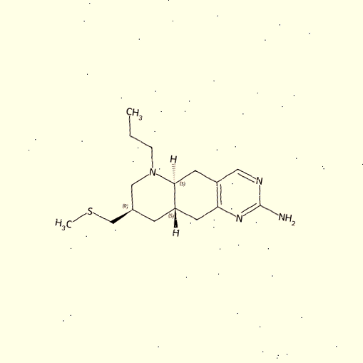 CCCN1C[C@H](CSC)C[C@H]2Cc3nc(N)ncc3C[C@@H]21